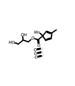 CC1=C[C]([Mn])(C(=O)OCC(O)CO)C=C1.[C]=O.[C]=O.[C]=O